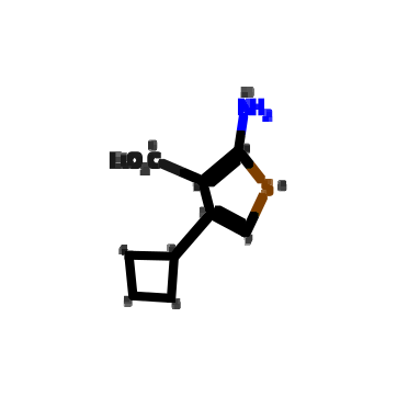 CCOC(=O)c1c(C2CCC2)csc1N